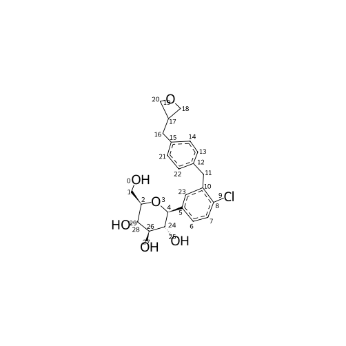 OC[C@H]1O[C@@H](c2ccc(Cl)c(Cc3ccc(CC4COC4)cc3)c2)[C@H](O)[C@@H](O)[C@@H]1O